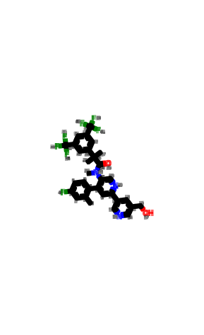 Cc1cc(F)ccc1-c1cc(-c2cncc(CO)c2)ncc1N(C)C(=O)C(C)(C)c1cc(C(F)(F)F)cc(C(F)(F)F)c1